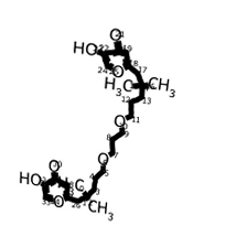 CC(C)(CCCOCCCOCCCC(C)(C)Cc1cc(=O)c(O)co1)Cc1cc(=O)c(O)co1